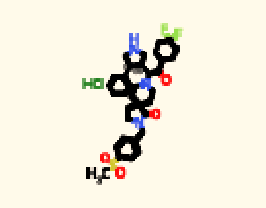 CS(=O)(=O)c1ccc(CN2CCC3(CCN(C(C(=O)C4CCC(F)(F)CC4)[C@@H]4CNC[C@@H]4c4ccccc4)CC3)C2=O)cc1.Cl